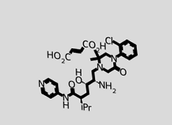 CC(C)[C@H](C[C@H](O)[C@@H](N)CN1CC(=O)N(c2ccccc2Cl)CC1(C)C)C(=O)Nc1ccncc1.O=C(O)/C=C/C(=O)O